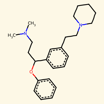 CN(C)CCC(Oc1ccccc1)c1cccc(CCN2CCCCC2)c1